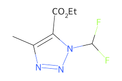 CCOC(=O)c1c(C)nnn1C(F)F